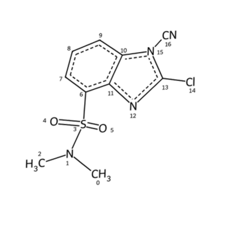 CN(C)S(=O)(=O)c1cccc2c1nc(Cl)n2C#N